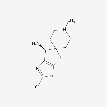 CN1CCC2(CC1)Cc1sc(Cl)nc1[C@H]2N